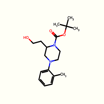 Cc1ccccc1N1CCN(C(=O)OC(C)(C)C)C(CCO)C1